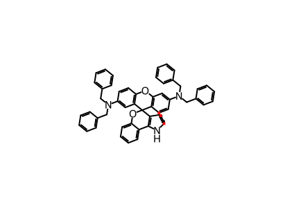 c1ccc(CN(Cc2ccccc2)c2ccc3c(c2)Oc2ccc(N(Cc4ccccc4)Cc4ccccc4)cc2C32Oc3ccccc3-c3[nH]c4ccccc4c32)cc1